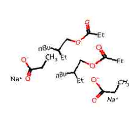 CCC(=O)[O-].CCC(=O)[O-].CCCCC(CC)COC(=O)CC.CCCCC(CC)COC(=O)CC.[Na+].[Na+]